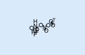 CC(=O)N(c1ccc(S(=O)(=O)CC2CC2)cc1)c1cccc(C(=O)Nc2ccccc2OC(F)(F)F)c1